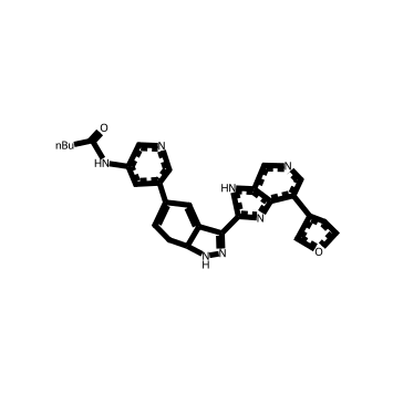 CCCCC(=O)Nc1cncc(C2=CCC3NN=C(c4nc5c(-c6ccoc6)cncc5[nH]4)C3=C2)c1